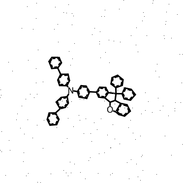 c1ccc(-c2ccc(N(c3ccc(-c4ccccc4)cc3)c3ccc(-c4ccc5c(c4)C4Oc6ccccc6C4C5(c4ccccc4)c4ccccc4)cc3)cc2)cc1